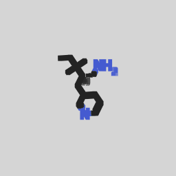 CCC(C)(C)[C@H](CN)Cc1cccnc1